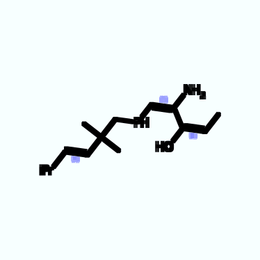 C/C=C(O)\C(N)=C/PCC(C)(C)/C=C/C(C)C